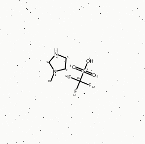 CN1CCNC1.O=S(=O)(O)C(F)(F)F